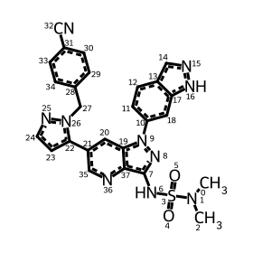 CN(C)S(=O)(=O)Nc1nn(-c2ccc3cn[nH]c3c2)c2cc(-c3ccnn3Cc3ccc(C#N)cc3)cnc12